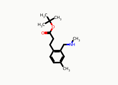 CNCc1cc(C)ccc1CCC(=O)OC(C)(C)C